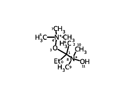 CCC(C)(O[N+](C)(C)C)[N+](C)(C)O